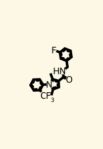 Cc1cc(C(=O)NCc2cccc(F)c2)c(C)n1-c1ccccc1C(F)(F)F